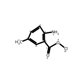 Cc1ccc(N)c(C(=O)OCl)c1